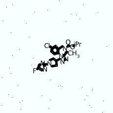 CC(C)OC(=O)N1Cc2cc(Cl)ccc2-n2c(C3CCN(c4ncc(F)cn4)CC3)nnc2C1C